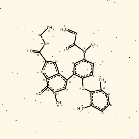 C=CC(=O)N(C)c1ccc(Oc2c(C)cccc2C)c(-c2cn(C)c(=O)c3sc(C(=O)NCC)cc23)c1